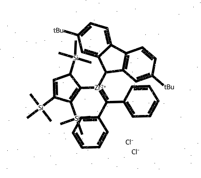 CC(C)(C)c1ccc2c(c1)[CH]([Zr+2]([C]1=C([Si](C)(C)C)C([Si](C)(C)C)=CC1[Si](C)(C)C)=[C](c1ccccc1)c1ccccc1)c1cc(C(C)(C)C)ccc1-2.[Cl-].[Cl-]